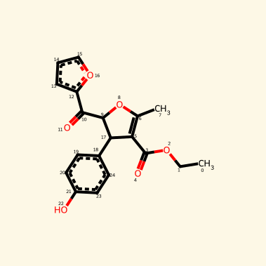 CCOC(=O)C1=C(C)OC(C(=O)c2ccco2)C1c1ccc(O)cc1